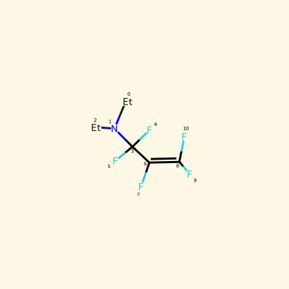 CCN(CC)C(F)(F)C(F)=C(F)F